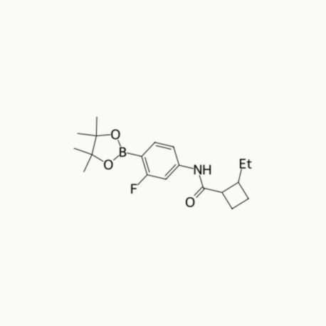 CCC1CCC1C(=O)Nc1ccc(B2OC(C)(C)C(C)(C)O2)c(F)c1